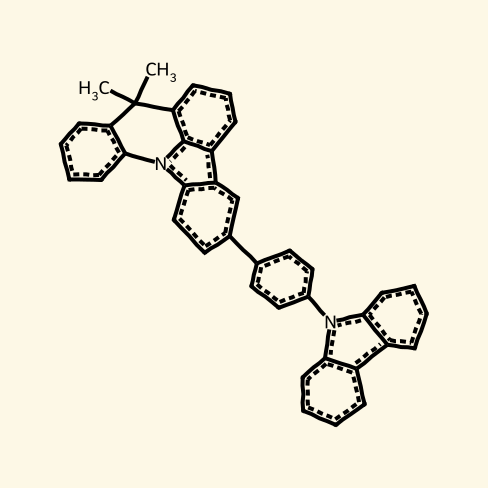 CC1(C)c2ccccc2-n2c3ccc(-c4ccc(-n5c6ccccc6c6ccccc65)cc4)cc3c3cccc1c32